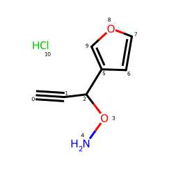 C#CC(ON)c1ccoc1.Cl